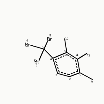 Cc1ccc(C(Br)(Br)Br)c(C)c1C